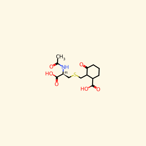 CC(=O)N[C@@H](CSCC1C(=O)CCCC1C(=O)O)C(=O)O